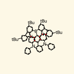 CC(C)(C)c1ccc2c(c1)c1cc(C(C)(C)C)cc3c1n2-c1cc(-c2c(N(c4ccccc4)c4ccccc4)cccc2N(c2ccccc2)c2ccccc2)cc2c1B3c1cc(C(C)(C)C)cc3c4cc(C(C)(C)C)ccc4n-2c13